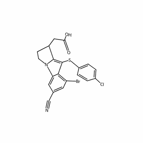 N#Cc1cc(Br)c2c(Sc3ccc(Cl)cc3)c3n(c2c1)CCC3CC(=O)O